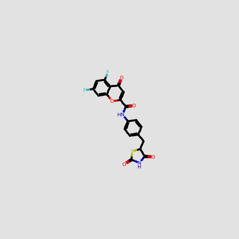 O=C1NC(=O)C(Cc2ccc(NC(=O)c3cc(=O)c4c(F)cc(F)cc4o3)cc2)S1